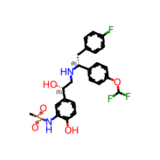 CS(=O)(=O)Nc1cc([C@H](O)CN[C@H](Cc2ccc(F)cc2)c2ccc(OC(F)F)cc2)ccc1O